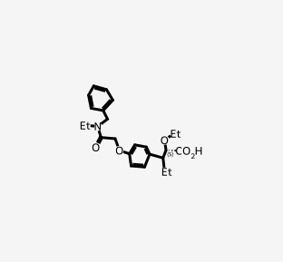 CCO[C@H](C(=O)O)C(CC)c1ccc(OCC(=O)N(CC)Cc2ccccc2)cc1